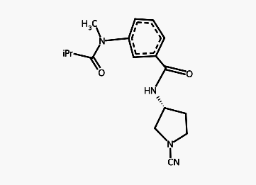 CC(C)C(=O)N(C)c1cccc(C(=O)N[C@@H]2CCN(C#N)C2)c1